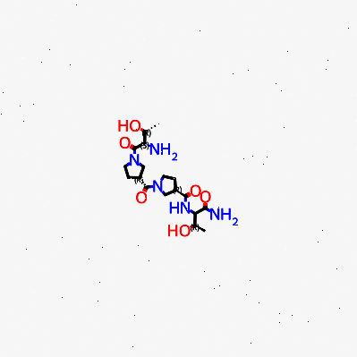 C[C@@H](O)C(NC(=O)[C@@H]1CCN(C(=O)[C@@H]2CCN(C(=O)[C@@H](N)[C@@H](C)O)C2)C1)C(N)=O